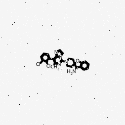 Cc1nc(N2CCC3(CC2)Oc2ccccc2[C@H]3N)n2ccnc2c1-c1cccc(Cl)c1Cl